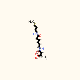 CSCCCCNC(=O)CCCCCNC(=O)CC(C)C(=O)O